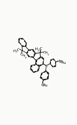 CC(C)(C)c1ccc(N(c2ccc(C(C)(C)C)cc2)c2cc3c(c4ccccc24)-c2cc4c(cc2C3(C)C)-c2ccccc2C4(C)C)cc1